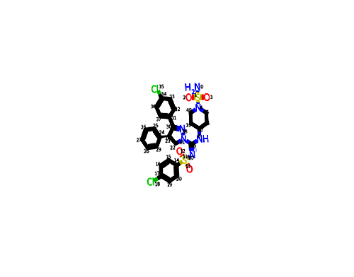 NS(=O)(=O)N1CCC(N/C(=N/S(=O)(=O)c2ccc(Cl)cc2)N2C[C@@H](c3ccccc3)C(c3ccc(Cl)cc3)=N2)CC1